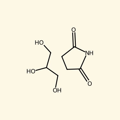 O=C1CCC(=O)N1.OCC(O)CO